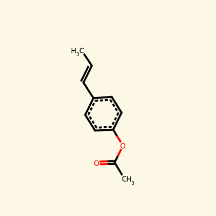 C/C=C/c1ccc(OC(C)=O)cc1